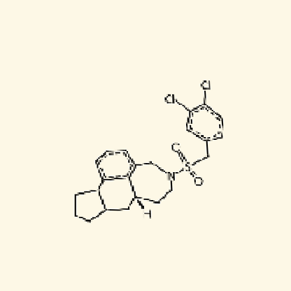 O=S(=O)(Cc1ccc(Cl)c(Cl)c1)N1CC[C@@H]2CC3CCCC3c3cccc(c32)C1